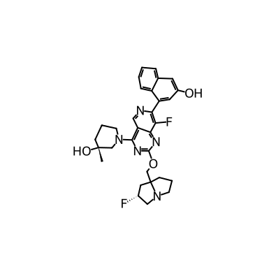 C[C@@]1(O)CCCN(c2nc(OCC34CCCN3C[C@H](F)C4)nc3c(F)c(-c4cc(O)cc5ccccc45)ncc23)C1